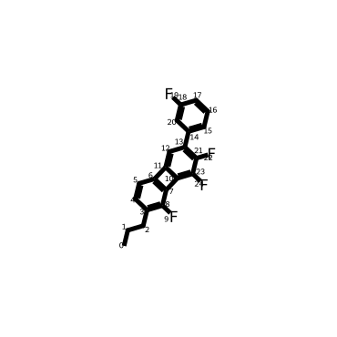 CCCc1ccc2c(c1F)-c1c-2cc(-c2cccc(F)c2)c(F)c1F